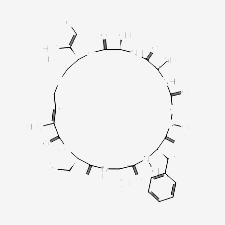 C/C=C(\C)[C@H]1OC(=O)[C@@H](C)NC(=O)C(C(C)CC)NC(=O)CN(C)C(=O)[C@@H](Cc2ccccc2)N(C)C(=O)[C@H](C)NC(=O)[C@@H](CC(C)C)OC(=O)/C(C)=C/CC[C@@H]1C